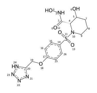 O=C(NO)[C@@H]1C(O)CCCN1S(=O)(=O)c1ccc(OCc2nnn[nH]2)cc1